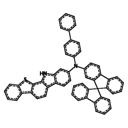 c1ccc(-c2ccc(N(c3ccc4c(c3)C3(c5ccccc5-c5ccccc53)c3ccccc3-4)c3ccc4c(c3)[nH]c3c4ccc4c5ccccc5sc43)cc2)cc1